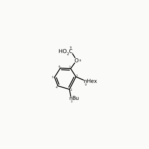 CCCCCCc1c(CCCC)cccc1OC(=O)O